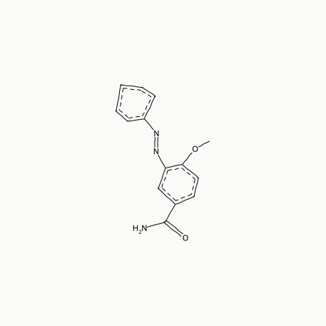 COc1ccc(C(N)=O)cc1/N=N/c1ccccc1